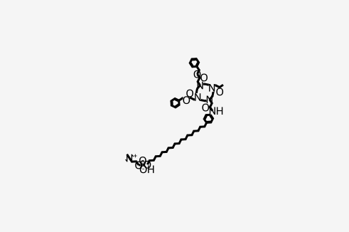 CC(=O)CN1CCN(CC(=O)Nc2ccc(CCCCCCCCCCCCCCCCCCOP(=O)(O)OCC[N+](C)(C)C)cc2)CCN(CC(=O)OCc2ccccc2)CCN(CC(=O)OCc2ccccc2)CC1